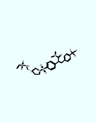 C=CS(=O)(=O)NC[C@H]1CCN(S(=O)(=O)c2ccc(C(Cc3ccc(C(F)(F)F)cc3)C(=O)N(C)C)cc2)C1